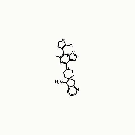 Cc1nc(N2CCC3(CC2)Cc2ncccc2[C@H]3N)c2ccnn2c1-c1ccsc1Cl